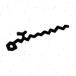 CCCCCCCCCCCCCC(C=Cc1ccccc1)C(C)=O